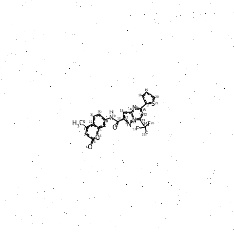 Cc1cc(=O)oc2cc(NC(=O)c3cc4nc(-c5cccs5)cc(C(F)(F)F)n4n3)ccc12